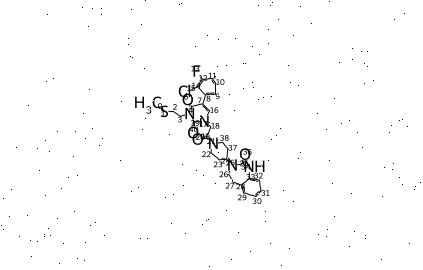 CSCCn1c(=O)c(-c2cccc(F)c2Cl)cn(CC(=O)N2CCC(N3CCc4ccccc4NC3=O)CC2)c1=O